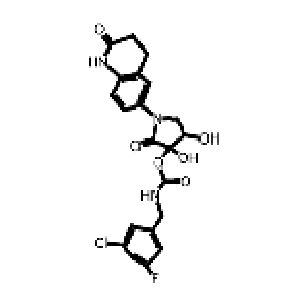 O=C1CCc2cc(N3CC(O)C(O)(OC(=O)NCc4cc(F)cc(Cl)c4)C3=O)ccc2N1